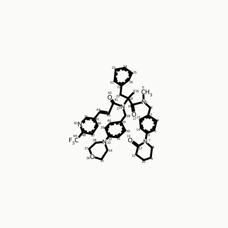 CN(Cc1ccc(N2CCCCC2=O)cc1)C(=O)C(I)(Cc1ccccc1)N(Cc1ccc(N2CCOCC2)cc1)C(=O)C=Cc1ccc(C(F)(F)F)nc1